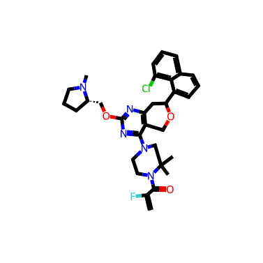 C=C(F)C(=O)N1CCN(c2nc(OC[C@@H]3CCCN3C)nc3c2COC(c2cccc4cccc(Cl)c24)C3)CC1(C)C